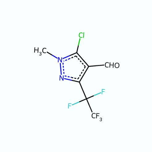 Cn1nc(C(F)(F)C(F)(F)F)c(C=O)c1Cl